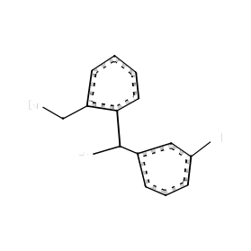 Clc1cccc(C(Br)c2ccccc2CBr)c1